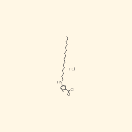 CCCCCCCCCCCCCCCCNc1csc(C(=O)Cl)c1.Cl